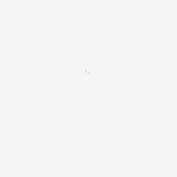 [2H]C([2H])([2H])N(Cc1ccc(CO)cc1)C(=O)O